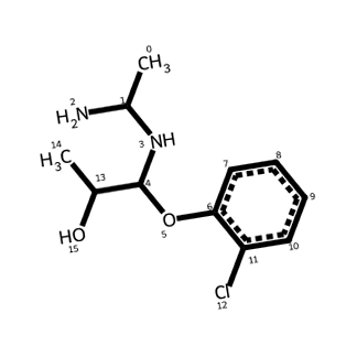 CC(N)NC(Oc1ccccc1Cl)C(C)O